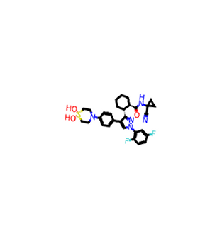 N#CC1(NC(=O)[C@@H]2CCCC[C@H]2c2nn(-c3cc(F)ccc3F)cc2-c2ccc(N3CCS(O)(O)CC3)cc2)CC1